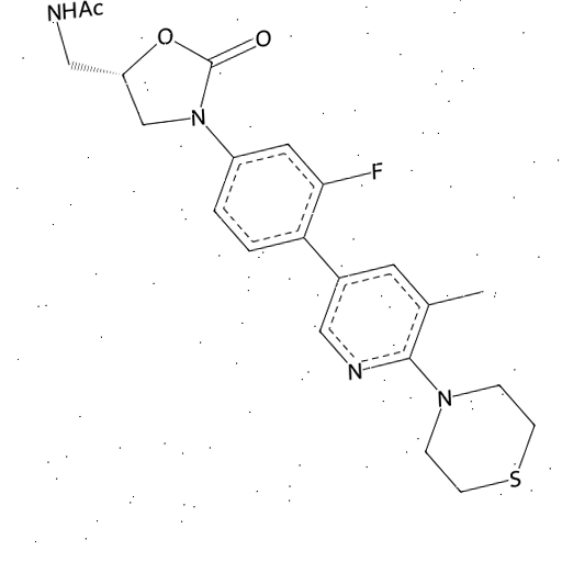 CC(=O)NC[C@H]1CN(c2ccc(-c3cnc(N4CCSCC4)c(C)c3)c(F)c2)C(=O)O1